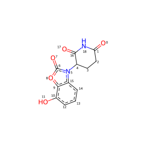 O=C1CCC(n2c(=O)oc3c(O)cccc32)C(=O)N1